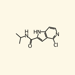 CC(C)NC(=O)c1cc2c(Cl)nccc2[nH]1